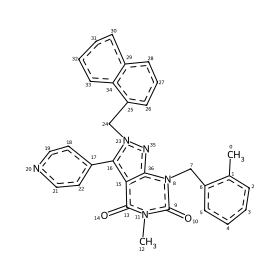 Cc1ccccc1Cn1c(=O)n(C)c(=O)c2c(-c3ccncc3)n(Cc3cccc4ccccc34)nc21